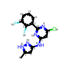 Cc1cc(Nc2cc(Cl)nc(-c3cccc(F)c3F)n2)n[nH]1